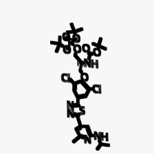 Cc1cc(-c2nnc(-c3cc(Cl)c(OC[C@@H](COP(=O)(OC(C)(C)C)OC(C)(C)C)NC(=O)OC(C)(C)C)c(Cl)c3)s2)cc(NC(C)C)n1